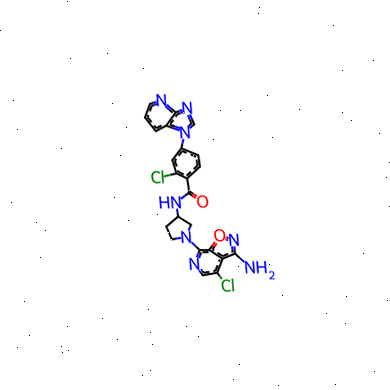 Nc1noc2c(N3CCC(NC(=O)c4ccc(-n5cnc6ncccc65)cc4Cl)C3)ncc(Cl)c12